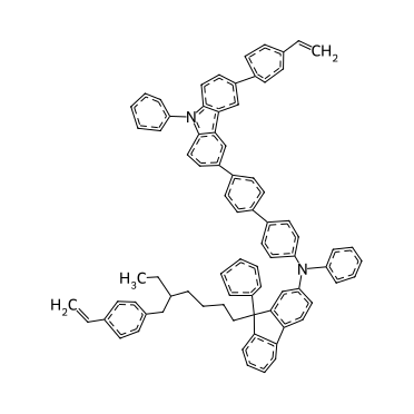 C=Cc1ccc(CC(CC)CCCCC2(c3ccccc3)c3ccccc3-c3ccc(N(c4ccccc4)c4ccc(-c5ccc(-c6ccc7c(c6)c6cc(-c8ccc(C=C)cc8)ccc6n7-c6ccccc6)cc5)cc4)cc32)cc1